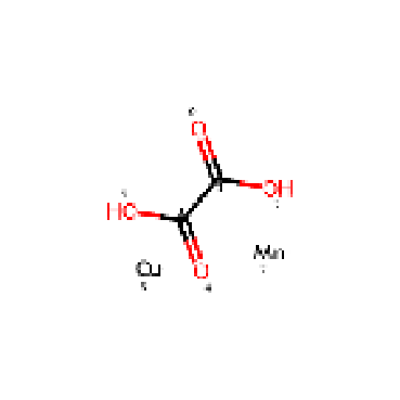 O=C(O)C(=O)O.[Cu].[Mn]